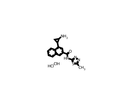 Cc1nnc(NC(=O)c2cc(C3CC3N)c3ccccc3c2)s1.Cl.Cl